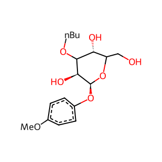 CCCCOC1[C@H](O)C(CO)O[C@@H](Oc2ccc(OC)cc2)[C@H]1O